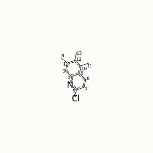 Cc1cc2nc(Cl)ccc2c(C)c1C